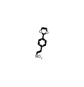 O=[N+]([O-])C=Cc1ccc(C2OC=CO2)cc1